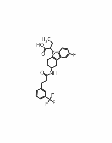 CCC(C(=O)O)n1c2c(c3cc(F)ccc31)C[C@@H](NC(=O)CCc1cccc(C(F)(F)F)c1)CC2